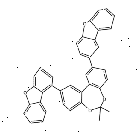 CC1(C)Oc2ccc(-c3ccc4oc5ccccc5c4c3)cc2-c2cc(-c3cccc4oc5ccccc5c34)ccc2O1